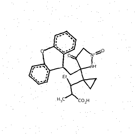 CCC(C(C)C(=O)O)C1(C2(CC3c4ccccc4Oc4ccccc43)N[N+](=O)CC2=O)CC1